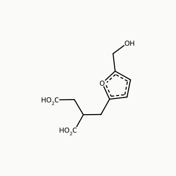 O=C(O)CC(Cc1ccc(CO)o1)C(=O)O